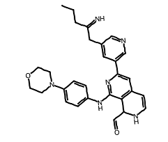 CCCC(=N)Cc1cncc(-c2cc3c(c(Nc4ccc(N5CCOCC5)cc4)n2)C(C=O)NC=C3)c1